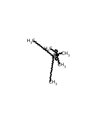 CCCCC1=C(c2cccc(CCCC)c2)[N+](=[N-])C(c2cccc(CCCC)c2)=C1.CCCCCCCCCCCCCCCCCCCC[CH2][Ni][CH2]CCCCCCCCCCCCCCCCCCCC